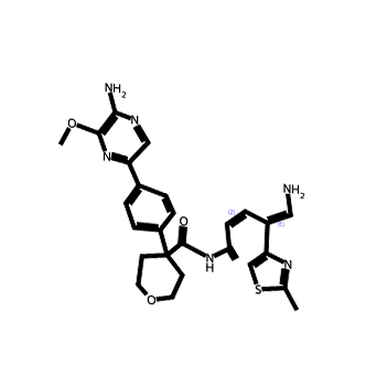 C=C(/C=C\C(=C/N)c1csc(C)n1)NC(=O)C1(c2ccc(-c3cnc(N)c(OC)n3)cc2)CCOCC1